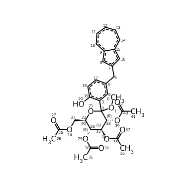 COC1(c2cc(Cc3cc4cccccc-4c3)ccc2O)O[C@H](COC(C)=O)[C@@H](OC(C)=O)[C@H](OC(C)=O)[C@H]1OC(C)=O